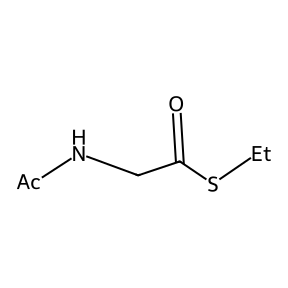 CCSC(=O)CNC(C)=O